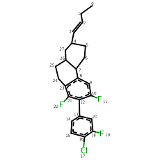 CC/C=C/C1CCC2c3cc(F)c(-c4ccc(Cl)c(F)c4)c(F)c3CCC2C1